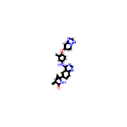 C=C1C(=O)NC2(c3ccc4ncnc(Nc5ccc(Oc6ccn7ncnc7c6)c(C)c5)c4c3)CC12